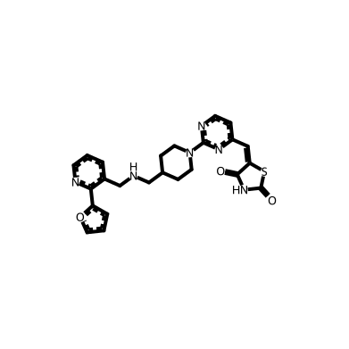 O=C1NC(=O)/C(=C\c2ccnc(N3CCC(CNCc4cccnc4-c4ccco4)CC3)n2)S1